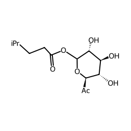 CC(=O)[C@H]1OC(OC(=O)CCC(C)C)[C@H](O)[C@@H](O)[C@@H]1O